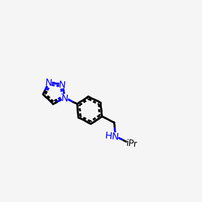 CC(C)NCc1ccc(-n2ccnn2)cc1